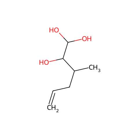 C=CCC(C)C(O)C(O)O